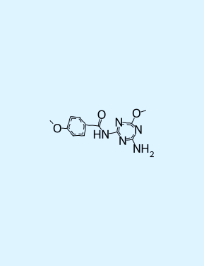 COc1ccc(C(=O)Nc2nc(N)nc(OC)n2)cc1